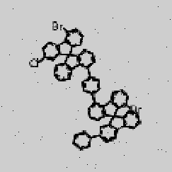 Clc1ccc2c(c1)C1(c3ccccc3-c3c(-c4ccc(-c5cccc6c5-c5cccc(Br)c5C65c6ccccc6-c6ccc(-c7ccccc7)cc65)cc4)cccc31)c1cccc(Br)c1-2